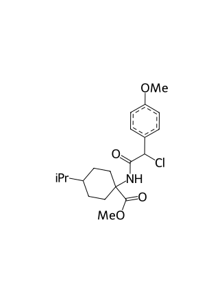 COC(=O)C1(NC(=O)C(Cl)c2ccc(OC)cc2)CCC(C(C)C)CC1